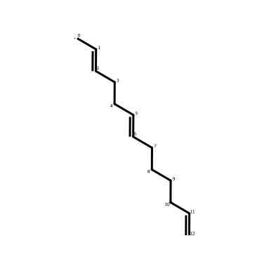 [CH2]C=CCCC=CCCCCC=C